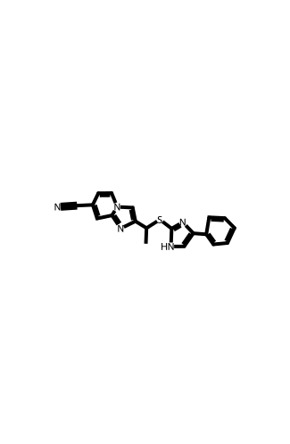 CC(Sc1nc(-c2ccccc2)c[nH]1)c1cn2ccc(C#N)cc2n1